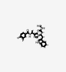 CC(NC(=O)c1ccc(F)c(F)c1)c1cn([C@@H](CC(=O)NO)Cc2c[nH]c3ccccc23)nn1